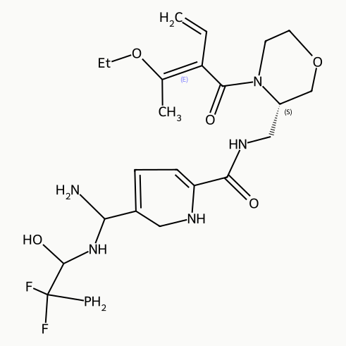 C=C/C(C(=O)N1CCOC[C@@H]1CNC(=O)C1=CC=C(C(N)NC(O)C(F)(F)P)CN1)=C(/C)OCC